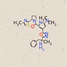 Cc1csc(C2CCCN2C(=O)c2cc(-c3nnc(C(C)(N)Cc4ccccc4)o3)cc(N(C)C)n2)n1